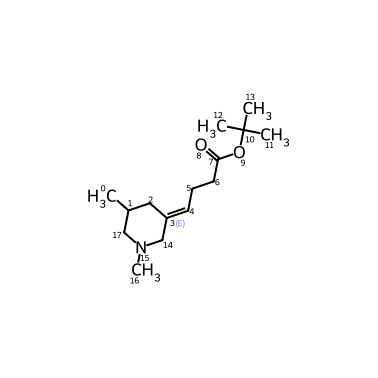 CC1C/C(=C\CCC(=O)OC(C)(C)C)CN(C)C1